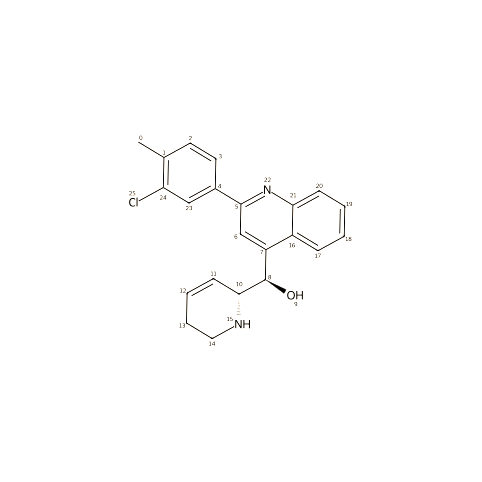 Cc1ccc(-c2cc([C@@H](O)[C@H]3C=CCCN3)c3ccccc3n2)cc1Cl